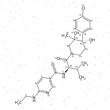 CCNc1ccc(C(=O)N[C@@H](C(=O)N2CC[C@](O)(c3ccc(Cl)cc3)C(C)(C)C2)C(C)C)cn1